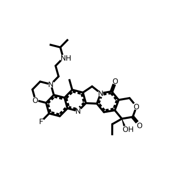 CC[C@@]1(O)C(=O)OCc2c1cc1n(c2=O)Cc2c-1nc1cc(F)c3c(c1c2C)N(CCNC(C)C)CCO3